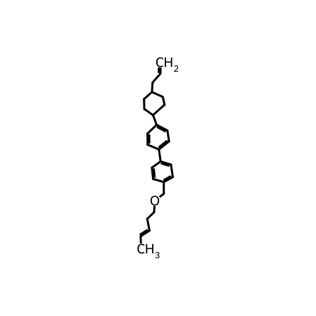 C=CCC1CCC(c2ccc(-c3ccc(COCCC=CC)cc3)cc2)CC1